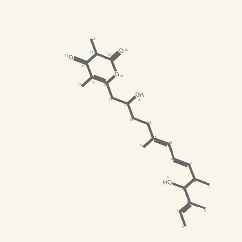 C/C=C(\C)C(O)C(C)/C=C/C=C(\C)CCC(O)CC1=C(C)C(=O)C(C)C(=O)O1